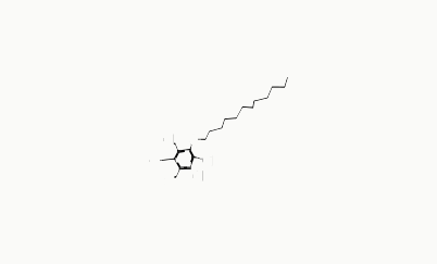 CCCCCCCCCCCCOc1c(Cl)c(Cl)c(Cl)c(Cl)c1Cl